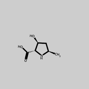 C[C@@H]1C[C@H](O)[C@@H](C(=O)O)N1